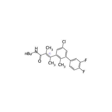 CCCCNC(=O)/C(C)=C(\C)c1cc(Cl)cc(-c2ccc(F)c(F)c2)c1C